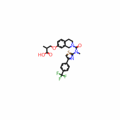 CC(COc1ccc2c(c1)CN(C(=O)N(C)c1nc(-c3ccc(C(F)(F)F)cc3)cs1)CC2)C(=O)O